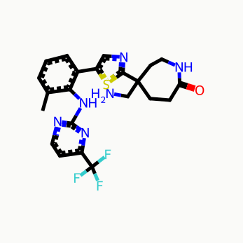 Cc1cccc(-c2cnc(C3(CN)CCNC(=O)CC3)s2)c1Nc1nccc(C(F)(F)F)n1